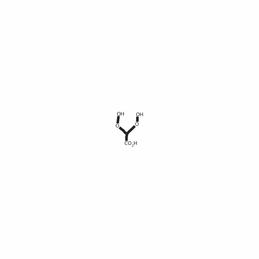 O=C(O)C(OO)OO